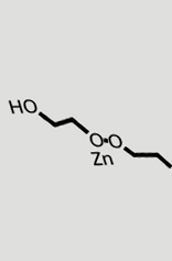 OCCOOCCO.[Zn]